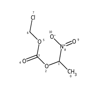 CC(OC(=O)OCCl)[N+](=O)[O-]